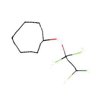 FC(Cl)C(F)(F)OC1C[CH]CCC1